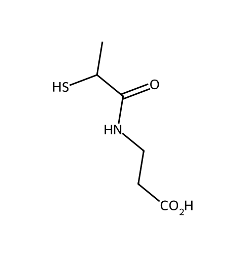 CC(S)C(=O)NCCC(=O)O